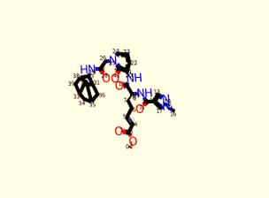 COC(=O)/C=C/CC[C@H](NC(=O)c1cnn(C)c1)C(=O)Nc1cccn(CC(=O)NC2C3CC4CC(C3)CC2C4)c1=O